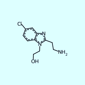 NCCc1nc2cc(Cl)ccc2n1CCO